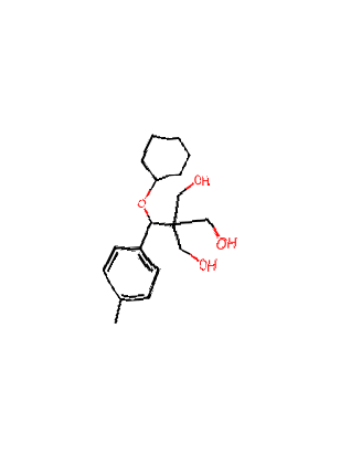 Cc1ccc(C(OC2CCCCC2)C(CO)(CO)CO)cc1